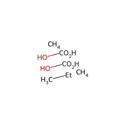 C.C.CCC.O=C(O)O.O=C(O)O